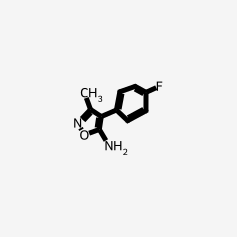 Cc1noc(N)c1-c1ccc(F)cc1